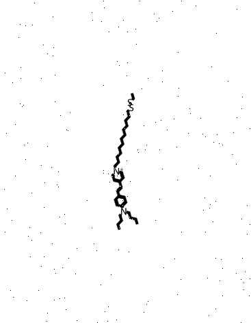 CCCCN(CCCC)c1ccc(/C=C/c2cc[n+](CCCCCCCCCCCCCSSCC)cc2)cc1